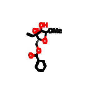 C=C[C@@]1(O)[C@@H](COC(=O)c2ccccc2)OC(OC)[C@@H]1O